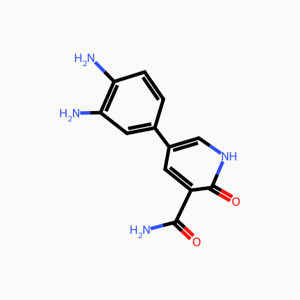 NC(=O)c1cc(-c2ccc(N)c(N)c2)c[nH]c1=O